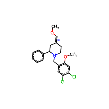 CO/C=C1/CCN(Cc2cc(Cl)c(Cl)cc2OC)C(c2ccccc2)C1